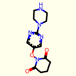 O=C1CCCC(=O)N1Oc1cnc(N2CCNCC2)nc1